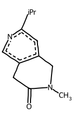 CC(C)c1cc2c(cn1)CC(=O)N(C)C2